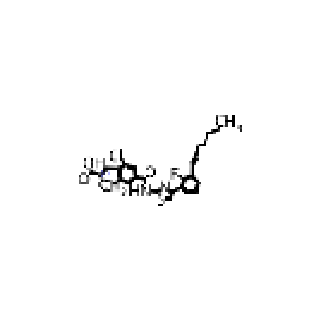 CCCCCC#Cc1cccc(-c2csc(NC(=O)c3cc(Cl)c(/C=C(\C)C(=O)O)c(Cl)c3)n2)c1F